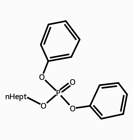 CCCCCCCOP(=O)(Oc1ccccc1)Oc1ccccc1